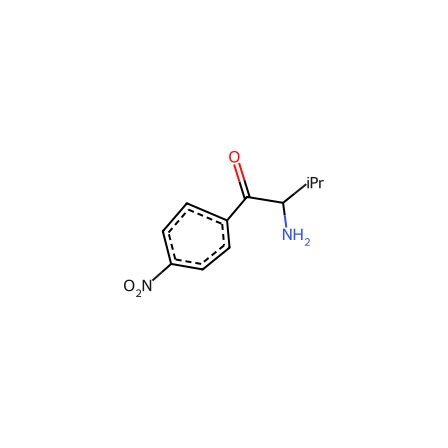 CC(C)C(N)C(=O)c1ccc([N+](=O)[O-])cc1